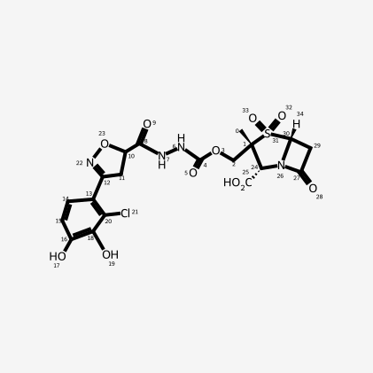 C[C@]1(COC(=O)NNC(=O)C2CC(c3ccc(O)c(O)c3Cl)=NO2)[C@@H](C(=O)O)N2C(=O)C[C@H]2S1(=O)=O